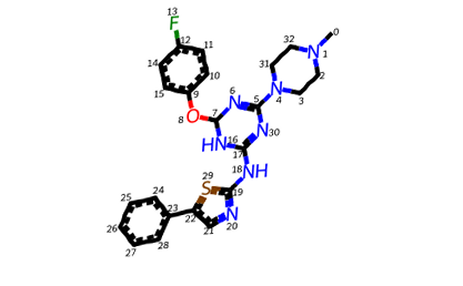 CN1CCN(C2=NC(Oc3ccc(F)cc3)NC(Nc3ncc(-c4ccccc4)s3)=N2)CC1